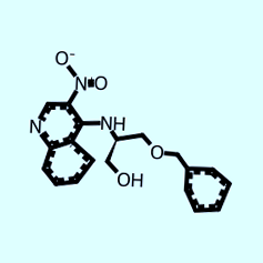 O=[N+]([O-])c1cnc2ccccc2c1N[C@H](CO)COCc1ccccc1